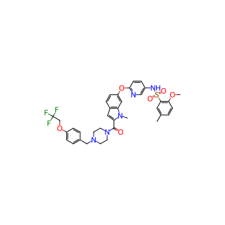 COc1ccc(C)cc1S(=O)(=O)Nc1ccc(Oc2ccc3cc(C(=O)N4CCN(Cc5ccc(OCC(F)(F)F)cc5)CC4)n(C)c3c2)nc1